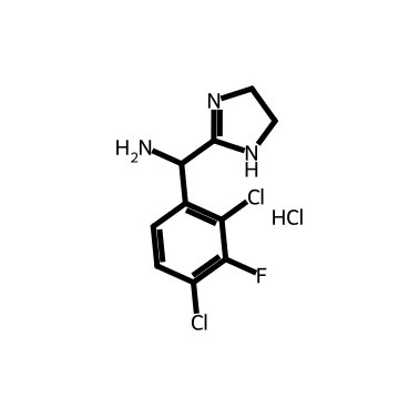 Cl.NC(C1=NCCN1)c1ccc(Cl)c(F)c1Cl